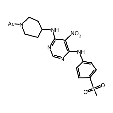 CC(=O)N1CCC(Nc2ncnc(Nc3ccc(S(C)(=O)=O)cc3)c2[N+](=O)[O-])CC1